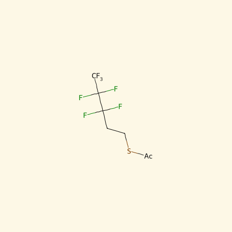 CC(=O)SCCC(F)(F)C(F)(F)C(F)(F)F